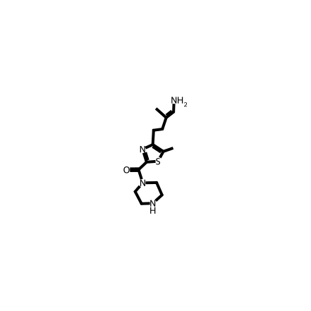 C/C(=C\N)CCc1nc(C(=O)N2CCNCC2)sc1C